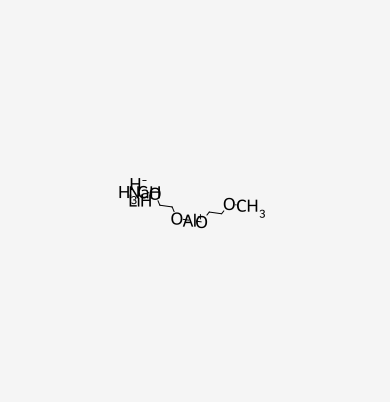 COCC[O][Al+][O]CCOC.[H-].[LiH].[NaH]